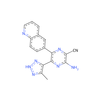 Cc1n[nH]nc1-c1nc(N)c(C#N)nc1-c1ccc2ncccc2c1